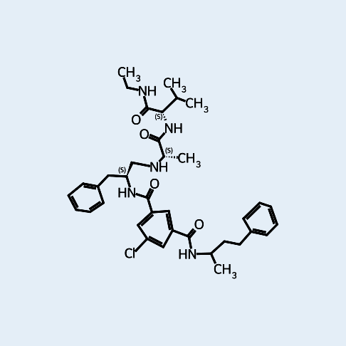 CCNC(=O)[C@@H](NC(=O)[C@H](C)NC[C@H](Cc1ccccc1)NC(=O)c1cc(Cl)cc(C(=O)NC(C)CCc2ccccc2)c1)C(C)C